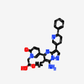 Cc1c(-c2ccc(=O)n(CC(=O)O)c2)nc2c(-c3ccc(-c4ccccc4)nc3)cnn2c1N